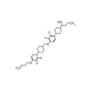 C=CCCOC1=CCC(C2CCC(COc3ccc(C4CCC(C(O)CCC)CC4)c(F)c3F)CC2)C(F)=C1F